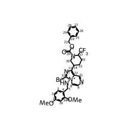 COc1ccc(CN[N+]23C=CN=CC2=C(C2CCC(C(F)(F)F)N(C(=O)OCc4ccccc4)C2)N=C3Br)c(OC)c1